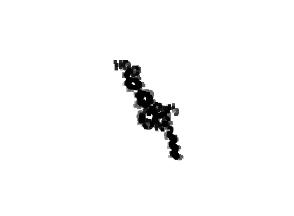 CCCCCCSc1nc(N)c2c(n1)OCCN(c1ccc([C@H]3CC[C@H](CC(=O)O)CC3)cc1)C2=O